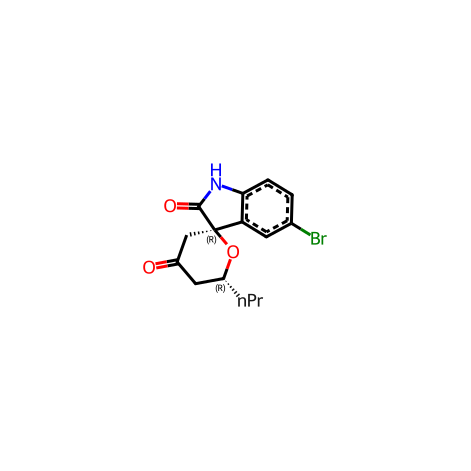 CCC[C@@H]1CC(=O)C[C@]2(O1)C(=O)Nc1ccc(Br)cc12